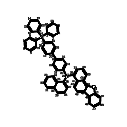 c1ccc([Si](c2ccccc2)(c2ccccc2)c2ccc(-c3ccc(N(c4cccc5ccccc45)c4cccc5c4ccc4c6ccccc6oc54)cc3)cc2)cc1